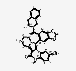 C[C@@H]1Cc2ccccc2CN1C(=O)c1cc2c(cc1-c1cc(C(=O)N(C)c3ccc(O)cc3)c3n1CCNC3)OCO2